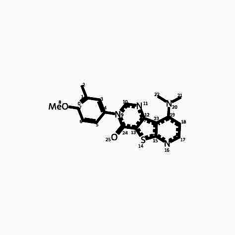 C=C(C)/C=C(\C=C/COC)n1cnc2c(sc3nccc(N(C)C)c32)c1=O